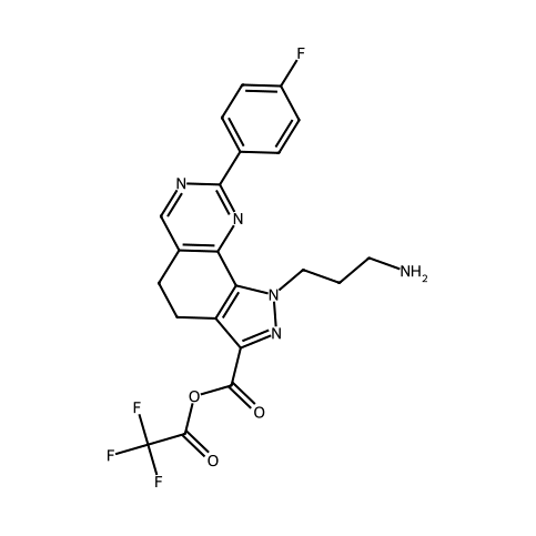 NCCCn1nc(C(=O)OC(=O)C(F)(F)F)c2c1-c1nc(-c3ccc(F)cc3)ncc1CC2